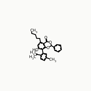 C=C(C)c1ccc(C)cc1-c1c(O)cc(CCCCC)c2c1OC(c1ccccc1)OC2=O